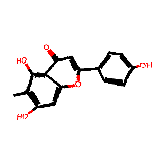 Cc1c(O)cc2oc(-c3ccc(O)cc3)cc(=O)c2c1O